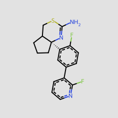 NC1=N[C@@]2(c3cc(-c4cccnc4F)ccc3F)CCCC2CS1